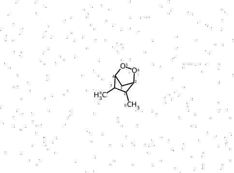 CC1C2CC(OO2)C1C